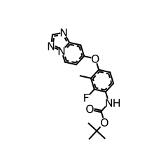 Cc1c(Oc2ccn3ncnc3c2)ccc(NC(=O)OC(C)(C)C)c1F